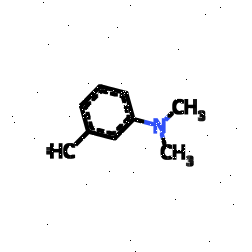 [CH]c1cccc(N(C)C)c1